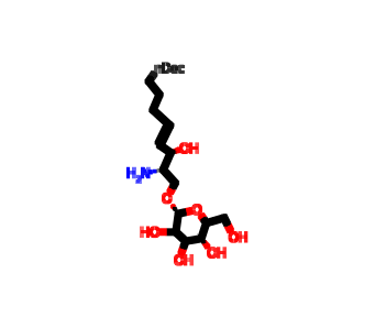 CCCCCCCCCCCCC/C=C/[C@@H](O)[C@@H](N)CO[C@@H]1OC(CO)[C@@H](O)C(O)C1O